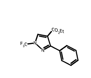 CCOC(=O)c1cn(C(F)(F)F)nc1-c1ccccc1